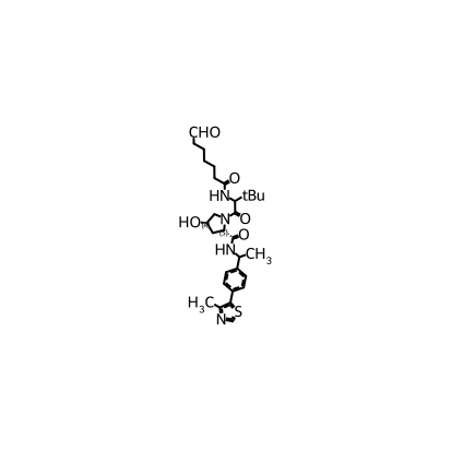 Cc1ncsc1-c1ccc(C(C)NC(=O)[C@@H]2C[C@@H](O)CN2C(=O)C(NC(=O)CCCCCC=O)C(C)(C)C)cc1